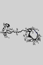 CO[C@H]1/C=C\C=C(/C)C(=O)NC2=CC(=O)C(NCCCCCCNC(=O)OCCN3CCN(c4cc(Nc5ncc(C(=O)Nc6c(C)cccc6Cl)s5)nc(C)n4)CC3)=C(C[C@@H](C)C[C@H](OC)[C@@H](O)[C@@H](C)CC(C)[C@@H]1OC(N)=O)C2=O